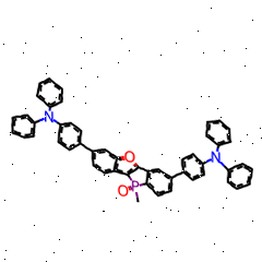 CP1(=O)c2ccc(-c3ccc(N(c4ccccc4)c4ccccc4)cc3)cc2-c2oc3cc(-c4ccc(N(c5ccccc5)c5ccccc5)cc4)ccc3c21